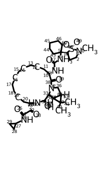 CN1CC[C@@H](C2(NC(=O)N[C@H]3CCCCCCCCCC[C@@H](C(=O)C(=O)NC4CC4)NC(=O)[C@@H]4[C@@H]5[C@H](CN4C3=O)C5(C)C)CCCCC2)S1(=O)=O